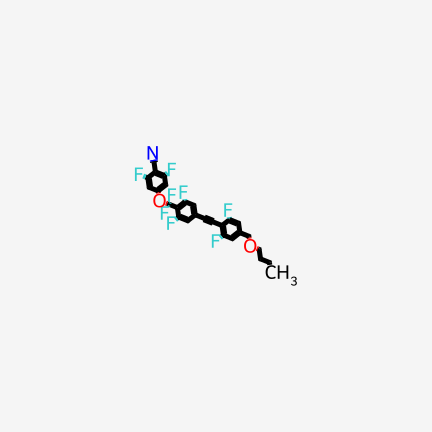 CCCCOCc1cc(F)c(C#Cc2cc(F)c(C(F)(F)Oc3cc(F)c(C#N)c(F)c3)c(F)c2)c(F)c1